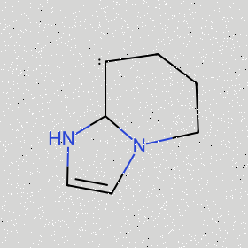 [C]1CCCN2C=CNC12